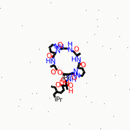 CC(C)CC1CCC(O)(C(C)(O)C(=O)NC2C(=O)N3NCCCC3C(=O)NC(C)C(=O)NCC(=O)N3NCCCC3C(=O)NC(C)C(=O)OC2C(C)C)OC1C